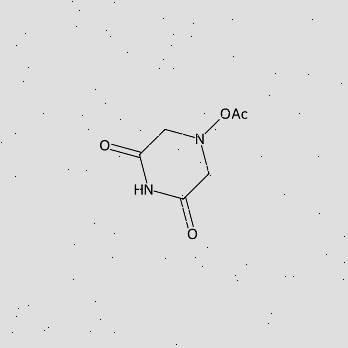 CC(=O)ON1CC(=O)NC(=O)C1